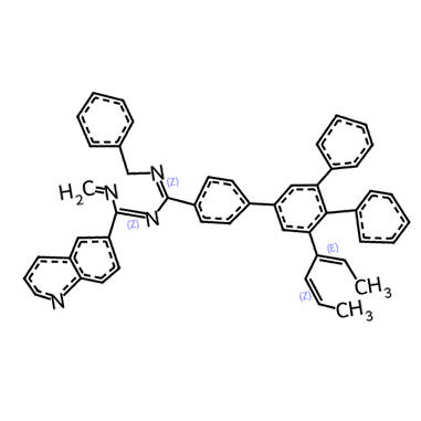 C=N/C(=N\C(=N/Cc1ccccc1)c1ccc(-c2cc(C(/C=C\C)=C/C)c(-c3ccccc3)c(-c3ccccc3)c2)cc1)c1ccc2ncccc2c1